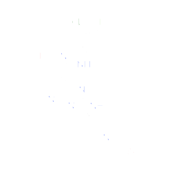 O/N=C(/Nc1ccc(F)c(Cl)c1)c1ccnc2nc(N[C@H]3CCCN(C4COC4)C3)[nH]c12